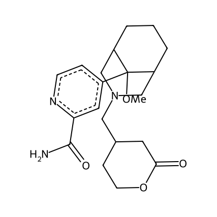 COC1(c2ccnc(C(N)=O)c2)C2CCCC1CN(CC1CCOC(=O)C1)C2